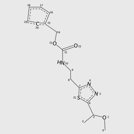 COC(C)c1nnc(CCNC(=O)OCc2ccccc2)s1